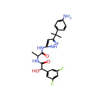 CC(NC(=O)C(O)c1cc(F)cc(F)c1)C(=O)Nc1cc(C(C)(C)c2ccc(N)cc2)n[nH]1